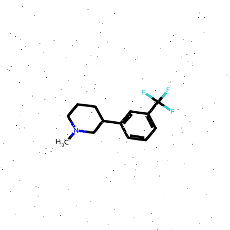 CN1CCCC(c2cccc(C(F)(F)F)c2)C1